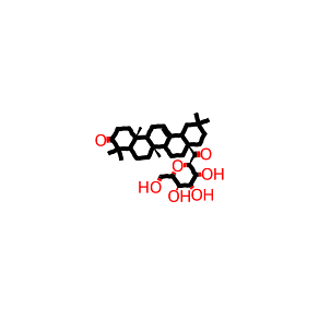 CC1(C)CC[C@]2(C(=O)[C@@H]3OC(CO)[C@@H](O)C(O)C3O)CCC3C(=CCC4[C@@]3(C)CCC3C(C)(C)C(=O)CC[C@@]34C)C2C1